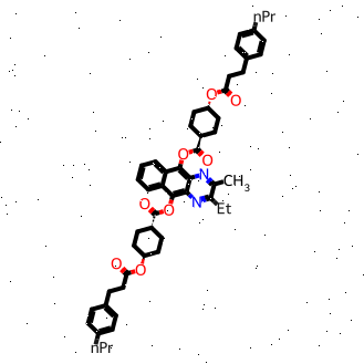 CCCc1ccc(CCC(=O)O[C@H]2CC[C@H](C(=O)Oc3c4ccccc4c(OC(=O)[C@H]4CC[C@H](OC(=O)CCc5ccc(CCC)cc5)CC4)c4nc(CC)c(C)nc34)CC2)cc1